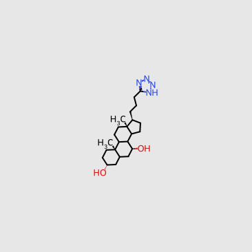 C[C@]12CC[C@@H](O)CC1C[C@H](O)C1C2CC[C@@]2(C)C1CC[C@@H]2CCCc1nnn[nH]1